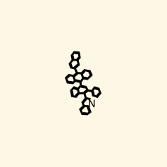 c1ccc(-c2cc(-c3c4ccccc4c(-c4ccc5ccccc5c4)c4ccccc34)c3ccccc3c2-c2cnc3ccccc3c2)cc1